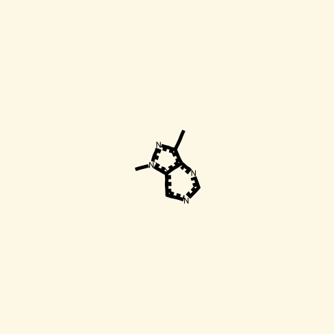 Cc1nn(C)c2cncnc12